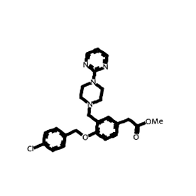 COC(=O)Cc1ccc(OCc2ccc(Cl)cc2)c(CN2CCN(c3ncccn3)CC2)c1